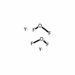 FOF.FOF.[Y].[Y]